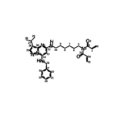 C=CC(=O)N(CCCCCCNc1cc(NCc2ccccc2)n2ncc(C(C)C)c2n1)C(=O)C=C